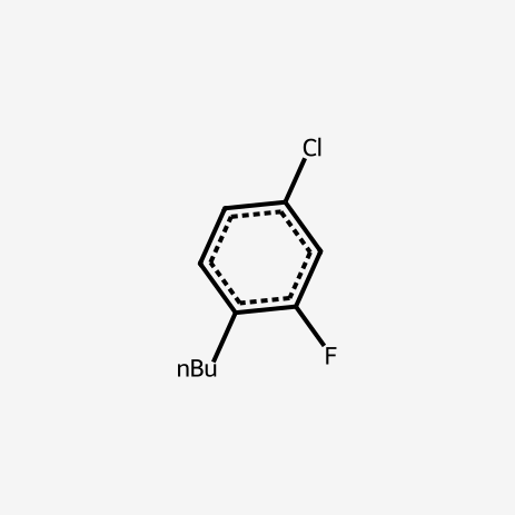 CCCCc1ccc(Cl)cc1F